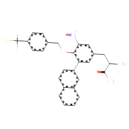 CC(Cc1cc(-c2ccc3ccccc3c2)c(OCc2ccc(C(F)(F)F)cc2)c([N+](=O)[O-])c1)C(=O)O